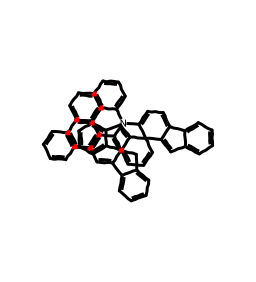 C1=CC2(C3=Cc4ccccc4C3=C1)C1=Cc3ccccc3C1=CC=C2N(c1ccccc1-c1ccccc1)c1c2c(cc(-c3ccccc3)c1-c1ccccc1)-c1ccccc1C2